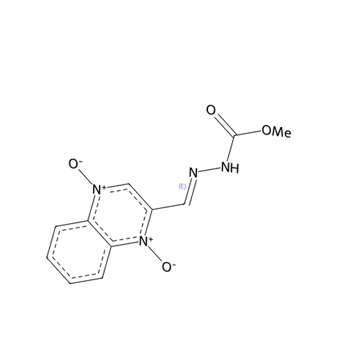 COC(=O)N/N=C/c1c[n+]([O-])c2ccccc2[n+]1[O-]